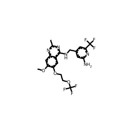 COc1cc2nc(C)nc(NCc3cc(N)nc(C(F)(F)F)c3)c2cc1OCCOC(F)(F)F